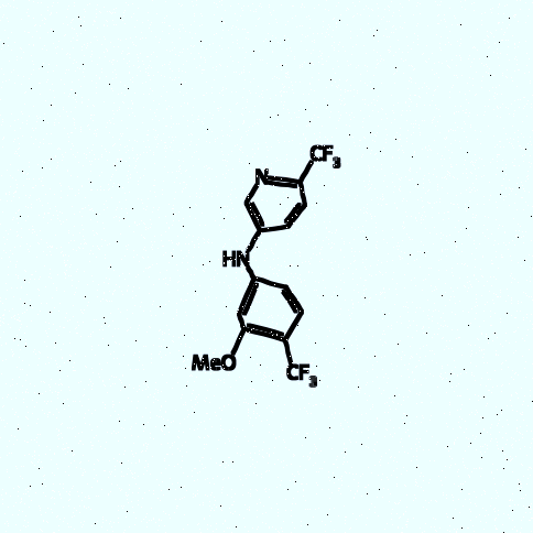 COc1cc(Nc2ccc(C(F)(F)F)nc2)ccc1C(F)(F)F